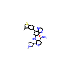 Cc1csc2ccc(-c3cc(Nc4c(C(N)=O)ccnc4[C@@H]4CCN(C)C4)cc4nccnc34)cc12